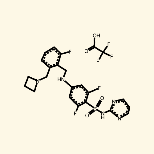 O=C(O)C(F)(F)F.O=S(=O)(Nc1ncccn1)c1c(F)cc(NCc2c(F)cccc2CN2CCC2)cc1F